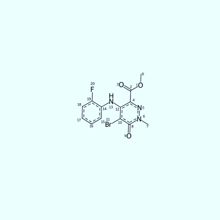 COC(=O)c1nn(C)c(=O)c(Br)c1Nc1ccccc1F